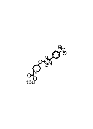 CC(C)(C)OC(=O)N1CCC(Oc2nc(-c3ccc(S(C)(=O)=O)cc3)no2)CC1